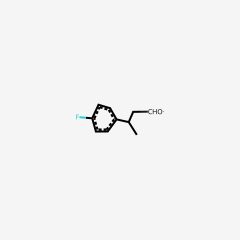 CC(C[C]=O)c1ccc(F)cc1